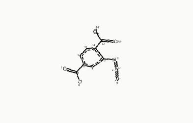 [N-]=[N+]=Nc1cc(C(=O)Cl)ccc1C(=O)Cl